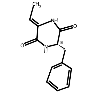 CC=C1NC(=O)[C@H](Cc2ccccc2)NC1=O